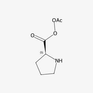 CC(=O)OOC(=O)[C@@H]1CCCN1